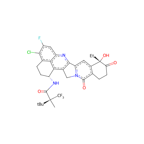 CC[C@@]1(O)C(=O)CCc2c1cc1n(c2=O)Cc2c-1nc1cc(F)c(Cl)c3c1c2[C@H](NC(=O)[C@](C)(C(C)(C)C)C(F)(F)F)CC3